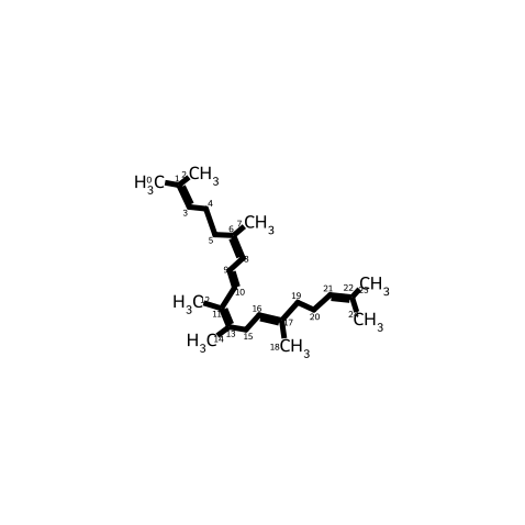 CC(C)=CCCC(C)=CC=CC(C)=C(C)C/C=C(\C)CCC=C(C)C